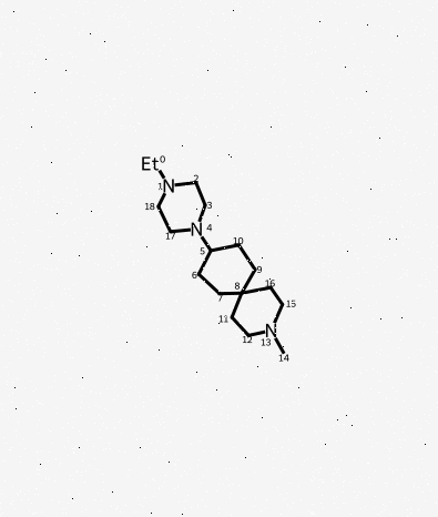 CCN1CCN(C2CCC3(CC2)CCN(C)CC3)CC1